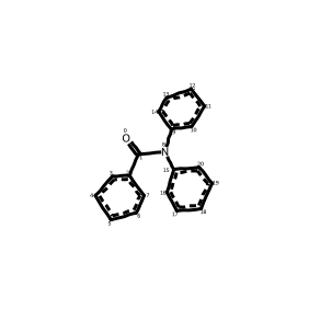 O=C(c1ccccc1)N(c1cc[c]cc1)c1ccccc1